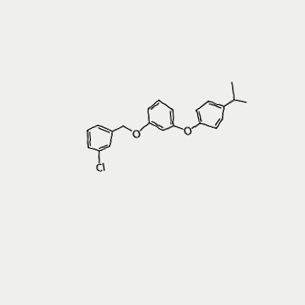 CC(C)c1ccc(Oc2cccc(OCc3cccc(Cl)c3)c2)cc1